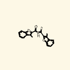 Cc1c(C(=O)BC(=O)c2oc3ccccc3c2C)oc2ccccc12